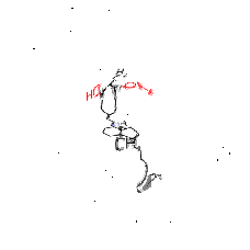 C=C1[C@H](O)CC(=C/C=C2\CCCC3(C)[C@@H](CCCCC(C)C)CC[C@@H]23)C[C@H]1O